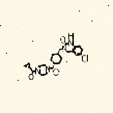 O=C(C1CC1)N1CCN(C(=O)[C@H]2CC[C@H](CN3Cc4cc(Cl)ccc4NC3=O)CC2)CC1